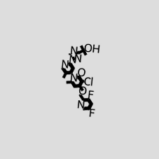 Cc1cnc(-n2cnc(C(C)(C)O)n2)cc1-n1c(C)cc(OCc2ncc(F)cc2F)c(Cl)c1=O